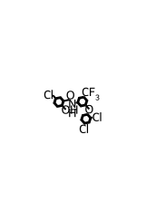 O=C(Nc1cc(Oc2ccc(Cl)cc2Cl)cc(C(F)(F)F)c1)c1cc(Cl)ccc1O